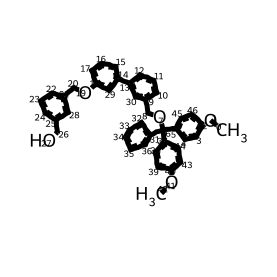 COc1ccc(C(OCc2cccc(-c3cccc(OCc4cccc(CO)c4)c3)c2)(c2ccccc2)c2ccc(OC)cc2)cc1